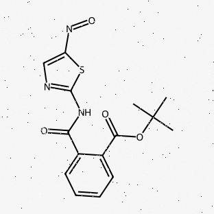 CC(C)(C)OC(=O)c1ccccc1C(=O)Nc1ncc(N=O)s1